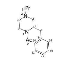 CC(=O)N1CCN(C(C)C)CC1Cc1ccccc1